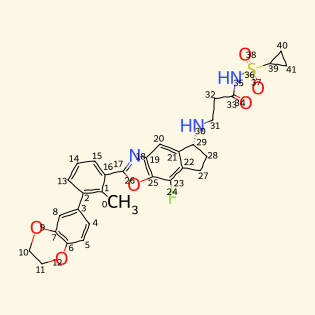 Cc1c(-c2ccc3c(c2)OCCO3)cccc1-c1nc2cc3c(c(F)c2o1)CC[C@H]3NCCC(=O)NS(=O)(=O)C1CC1